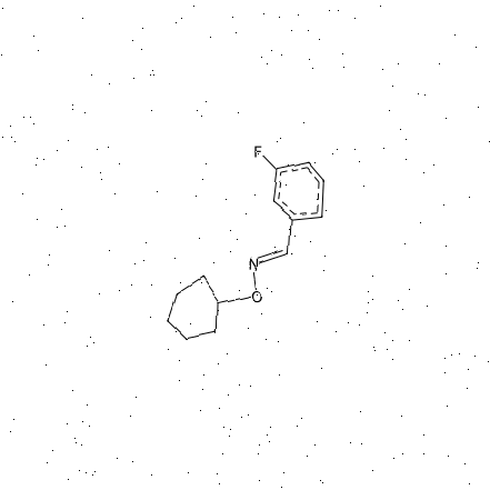 Fc1cccc(/[C]=N/OC2CCCCC2)c1